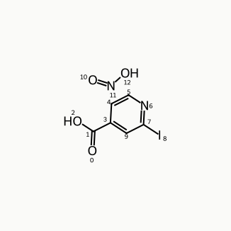 O=C(O)c1ccnc(I)c1.O=NO